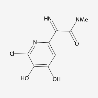 CNC(=O)C(=N)c1cc(O)c(O)c(Cl)n1